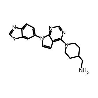 NCC1CCN(c2ncnc3c2ccn3-c2ccc3ncsc3c2)CC1